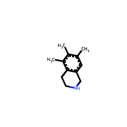 Cc1cc2c(c(C)c1C)CCNC2